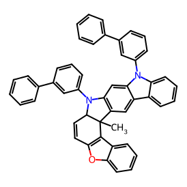 CC12c3cc4c5ccccc5n(-c5cccc(-c6ccccc6)c5)c4cc3N(c3cccc(-c4ccccc4)c3)C1C=Cc1oc3ccccc3c12